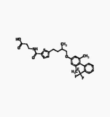 Cc1cc(OCC(C)CCc2ccc(C(=O)NCCC(=O)O)s2)cc(C)c1-c1ccccc1C(F)(F)F